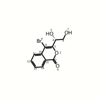 O=c1oc([C@H](O)CO)c(Br)c2ccccc12